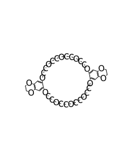 c1c2c(cc3c1OCCO3)OCCOCCOCCOCCOc1cc3c(cc1OCCOCCOCCOCCO2)OCCO3